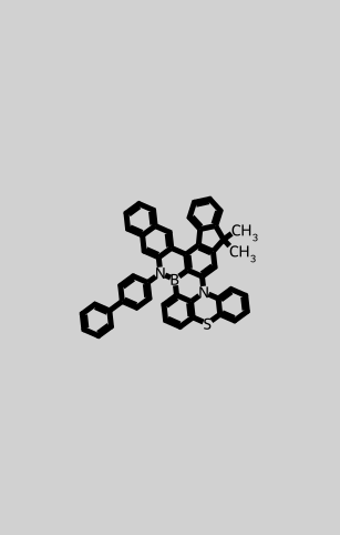 CC1(C)c2ccccc2-c2c1cc1c3c2-c2cc4ccccc4cc2N(c2ccc(-c4ccccc4)cc2)B3c2cccc3c2N1c1ccccc1S3